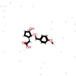 COc1ccc(CO[C@@H]2[C@@H](CC(=O)O)CC[C@H]2O)cc1